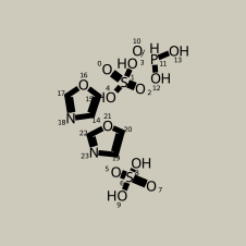 O=S(=O)(O)O.O=S(=O)(O)O.O=[PH](O)O.c1cocn1.c1cocn1